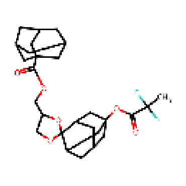 CC(F)(F)C(=O)OC12CC3CC(C1)C1(OCC(COC(=O)C45CC6CC(CC(C6)C4)C5)O1)C(C3)C2